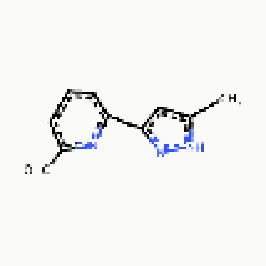 Cc1cc(-c2cccc(C=O)n2)n[nH]1